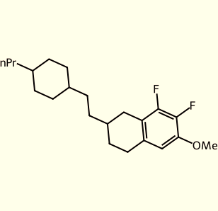 CCCC1CCC(CCC2CCc3cc(OC)c(F)c(F)c3C2)CC1